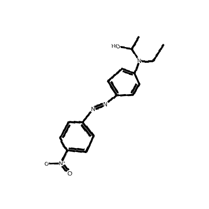 CCN(c1ccc(N=Nc2ccc([N+](=O)[O-])cc2)cc1)C(C)O